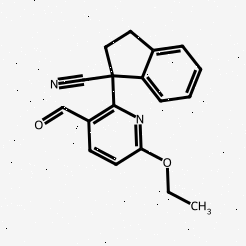 CCOc1ccc(C=O)c(C2(C#N)CCc3ccccc32)n1